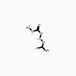 CCCC(F)OOOC(=O)OC(C)C